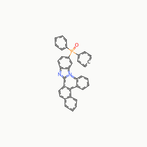 O=P(c1ccccc1)(c1ccccc1)c1ccc2nc3c4ccc5ccccc5c4c4ccccc4n3c2c1